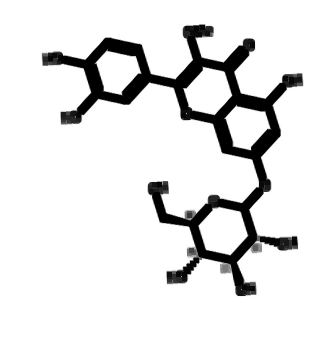 COc1c(-c2ccc(O)c(O)c2)oc2cc(OC3O[C@H](CO)[C@@H](O)[C@H](O)[C@H]3O)cc(O)c2c1=O